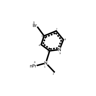 CCCN(C)c1cc(Br)ccn1